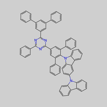 c1ccc(-c2cc(-c3ccccc3)cc(-c3nc(-c4ccccc4)nc(-c4cc(-c5ccccc5)c(-n5c6ccccc6c6cc(-n7c8ccccc8c8ccccc87)ccc65)c(-c5ccccc5)c4)n3)c2)cc1